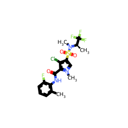 Cc1cccc(F)c1NC(=O)c1c(Cl)c(S(=O)(=O)N(C)[C@H](C)C(F)(F)F)cn1C